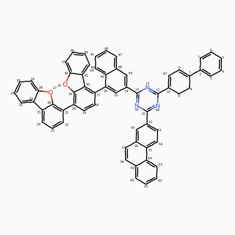 C1=C(c2ccccc2)CCC(c2nc(-c3cc(-c4ccc(-c5cccc6c5oc5ccccc56)c5oc6ccccc6c45)c4ccccc4c3)nc(-c3ccc4c(ccc5ccccc54)c3)n2)=C1